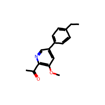 CCc1ccc(-c2cnc(C(C)=O)c(OC)c2)cc1